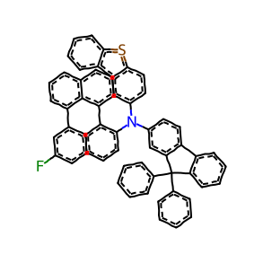 Fc1cccc(-c2cccc3cccc(-c4ccccc4N(c4ccc5c(c4)C(c4ccccc4)(c4ccccc4)c4ccccc4-5)c4ccc5sc6ccccc6c5c4)c23)c1